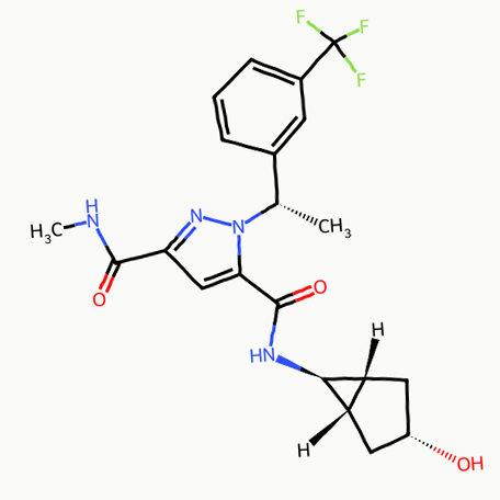 CNC(=O)c1cc(C(=O)N[C@H]2[C@@H]3C[C@H](O)C[C@@H]32)n([C@@H](C)c2cccc(C(F)(F)F)c2)n1